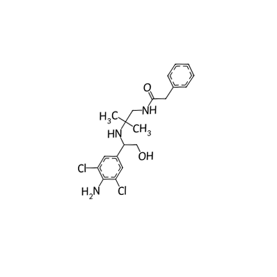 CC(C)(CNC(=O)Cc1ccccc1)NC(CO)c1cc(Cl)c(N)c(Cl)c1